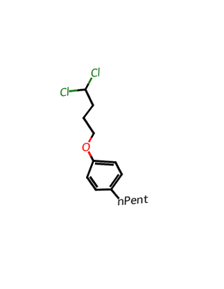 CCCCCc1ccc(OCCCC(Cl)Cl)cc1